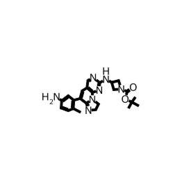 Cc1ccc(N)cc1C1=Cc2cnc(NC3CN(C(=O)OC(C)(C)C)C3)nc2N2CCN=C12